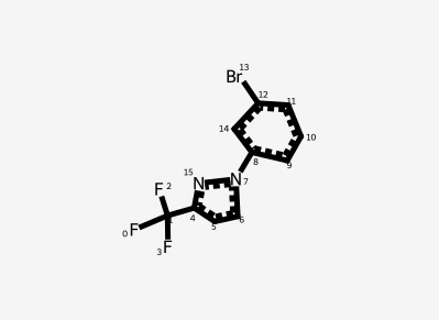 FC(F)(F)c1ccn(-c2cccc(Br)c2)n1